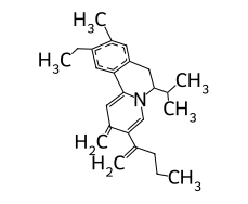 C=C1C=C2c3cc(CC)c(C)cc3CC(C(C)C)N2C=C1C(=C)CCC